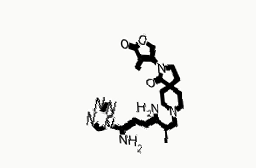 CC1=C(N2CCC3(CCN(C[C@@H](C)/C(N)=C/C=C(\N)n4cnnn4)CC3)C2=O)COC1=O